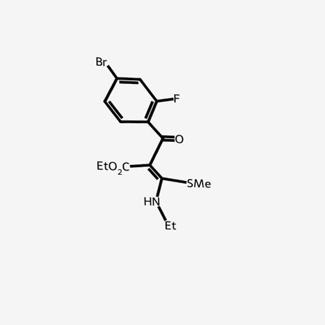 CCN/C(SC)=C(\C(=O)OCC)C(=O)c1ccc(Br)cc1F